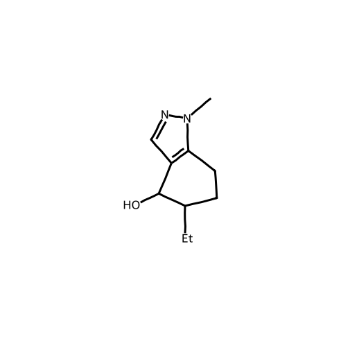 CCC1CCc2c(cnn2C)C1O